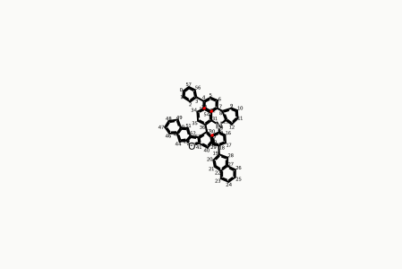 c1ccc(-c2ccc(-c3ccccc3N(c3ccc(-c4ccc5ccccc5c4)cc3)c3ccccc3-c3cccc4oc5cc6ccccc6cc5c34)cc2)cc1